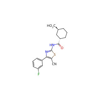 N#Cc1sc(NC(=O)[C@H]2CCC[C@H](C(=O)O)C2)nc1-c1cccc(F)c1